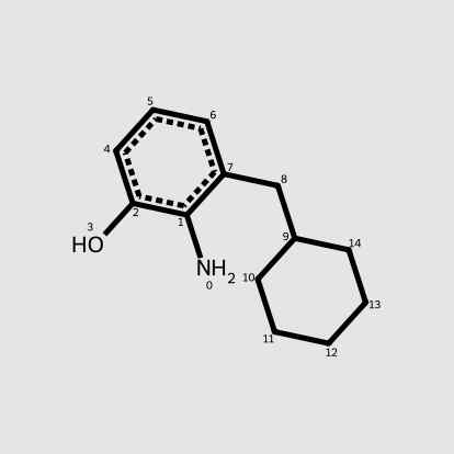 Nc1c(O)cccc1CC1CCCCC1